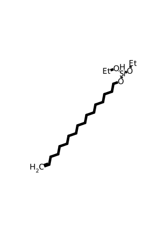 C=CCCCCCCCCCCCCCCCO[SiH](OCC)OCC